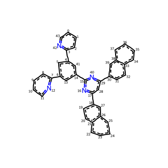 c1ccc(-c2cc(-c3ccccn3)cc(-c3nc(-c4ccc5ccccc5c4)cc(-c4ccc5ccccc5c4)n3)c2)nc1